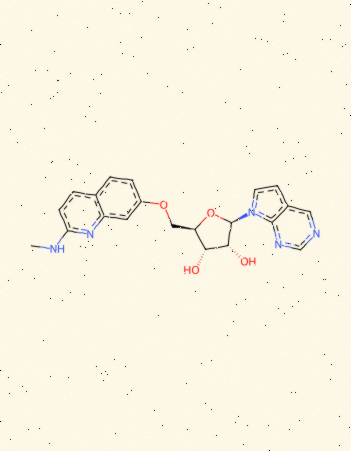 CNc1ccc2ccc(OC[C@H]3O[C@@H](n4ccc5cncnc54)[C@H](O)[C@@H]3O)cc2n1